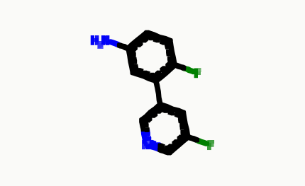 Nc1ccc(F)c(-c2cncc(F)c2)c1